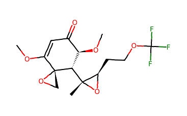 COC1=CC(=O)[C@@H](OC)[C@H]([C@@]2(C)O[C@@H]2CCOC(F)(F)F)[C@@]12CO2